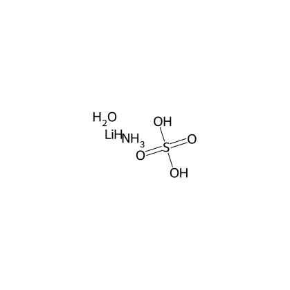 N.O.O=S(=O)(O)O.[LiH]